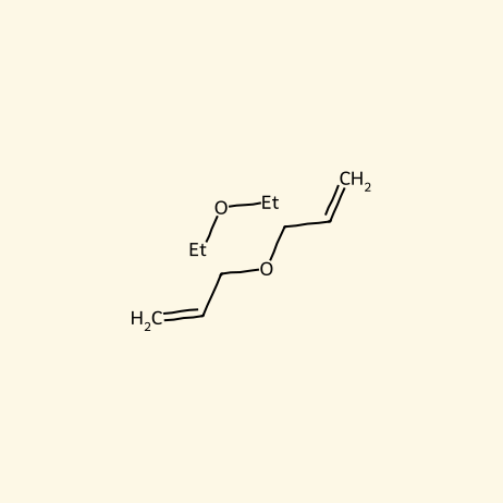 C=CCOCC=C.CCOCC